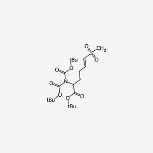 CC(C)(C)OC(=O)C(CCC=CS(C)(=O)=O)N(C(=O)OC(C)(C)C)C(=O)OC(C)(C)C